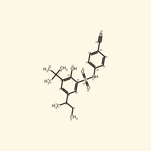 CCC(C)c1cc(C(C)(C)C)c(O)c(S(=O)(=O)Nc2ccc(C#N)cc2)c1